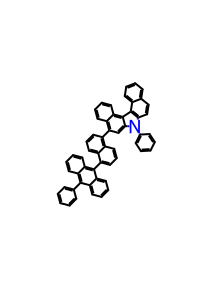 c1ccc(-c2c3ccccc3c(-c3cccc4c(-c5cc6c(c7ccccc57)c5c7ccccc7ccc5n6-c5ccccc5)cccc34)c3ccccc23)cc1